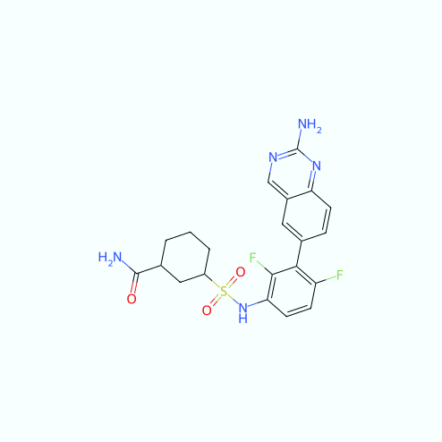 NC(=O)C1CCCC(S(=O)(=O)Nc2ccc(F)c(-c3ccc4nc(N)ncc4c3)c2F)C1